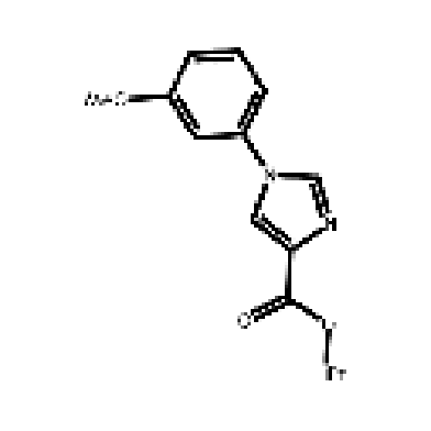 COc1cccc(-n2cnc(C(=O)OC(C)C)c2)c1